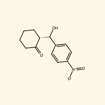 O=C1CCCC[C@@H]1C(O)c1ccc([N+](=O)[O-])cc1